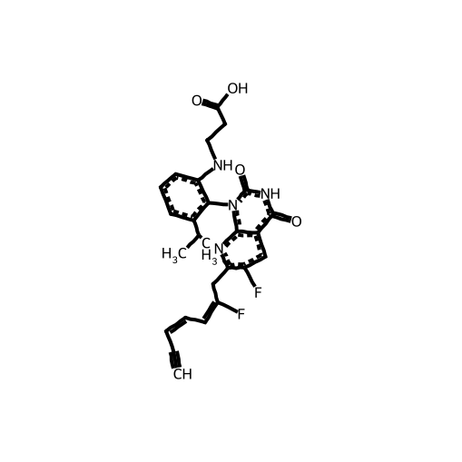 C#C/C=C\C=C(\F)Cc1nc2c(cc1F)c(=O)[nH]c(=O)n2-c1c(NCCC(=O)O)cccc1C(C)C